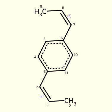 C/C=C\c1ccc(/C=C\C)cc1